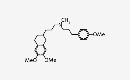 COc1ccc(CCCN(C)CCCC2CCc3cc(OC)c(OC)cc3C2)cc1